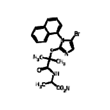 CC(NC(=O)C(C)(C)Sc1ncc(Br)n1-c1cccc2ccccc12)C(=O)O